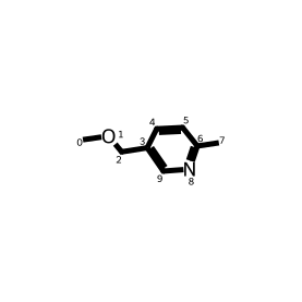 COCc1ccc(C)nc1